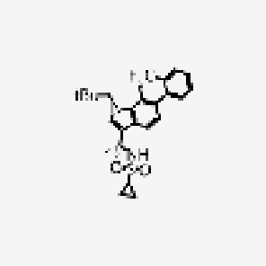 Cc1c(-c2ccccc2C(F)(F)F)ccc2c([C@@H](C)NS(=O)(=O)C3CC3)cn(CC(C)(C)C)c12